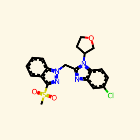 CS(=O)(=O)c1nn(Cc2nc3cc(Cl)ccc3n2C2CCOC2)c2ccccc12